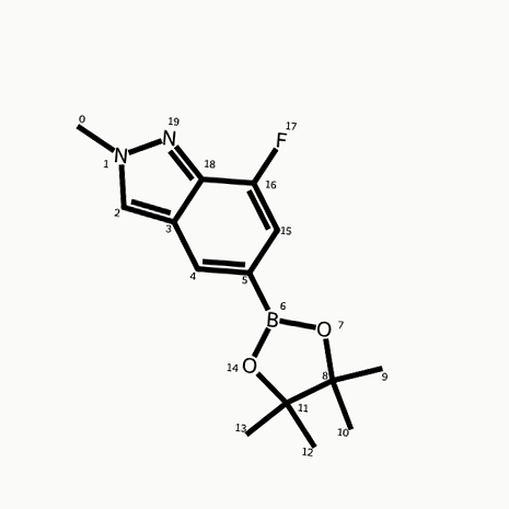 Cn1cc2cc(B3OC(C)(C)C(C)(C)O3)cc(F)c2n1